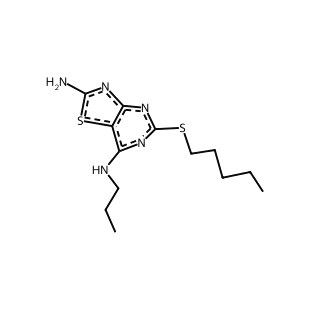 CCCCCSc1nc(NCCC)c2sc(N)nc2n1